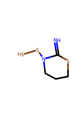 N=C1SCCCN1SS